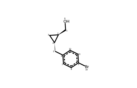 OC[C@@H]1C[C@H]1Cc1ccc(Br)cc1